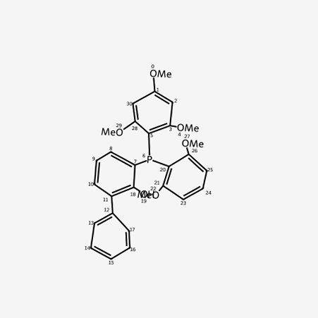 COc1cc(OC)c(P(c2cccc(-c3ccccc3)c2O)c2c(OC)cccc2OC)c(OC)c1